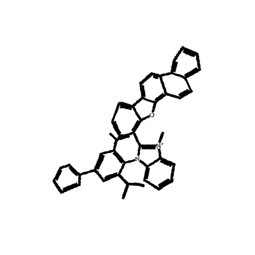 Cc1ccc2c(oc3c2ccc2c4ccccc4ccc23)c1-c1n(-c2c(C(C)C)cc(-c3ccccc3)cc2C(C)C)c2ccccc2[n+]1C